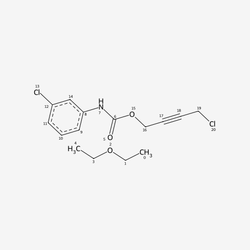 CCOCC.O=C(Nc1cccc(Cl)c1)OCC#CCCl